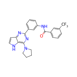 O=C(Nc1cccc(-c2nc(N3CCCC3)c3[nH]ccc3n2)c1)c1cccc(C(F)(F)F)c1